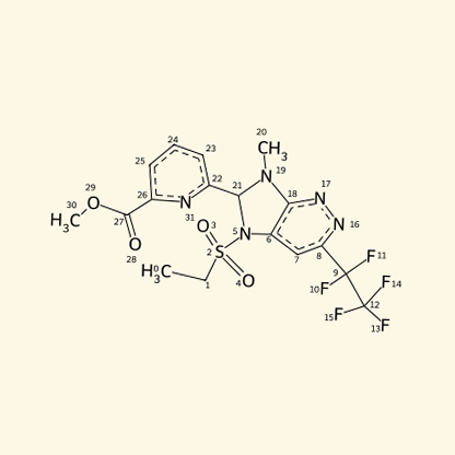 CCS(=O)(=O)N1c2cc(C(F)(F)C(F)(F)F)nnc2N(C)C1c1cccc(C(=O)OC)n1